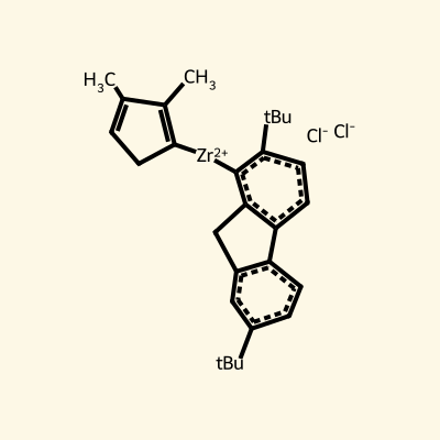 CC1=CC[C]([Zr+2][c]2c(C(C)(C)C)ccc3c2Cc2cc(C(C)(C)C)ccc2-3)=C1C.[Cl-].[Cl-]